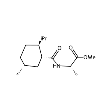 COC(=O)[C@H](C)NC(=O)[C@@H]1C[C@H](C)CC[C@H]1C(C)C